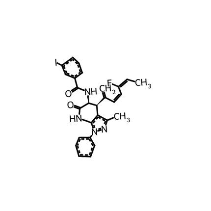 C=C(/C=C\C(F)=C/C)[C@H]1c2c(C)nn(-c3ccccc3)c2NC(=O)[C@H]1NC(=O)c1cccc(I)c1